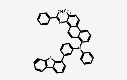 C/C(=N\c1c(C)ccc2c1ccc1c(N(c3ccccc3)c3cccc(-c4cccc5c4sc4c#cccc45)c3)cccc12)c1ccccc1